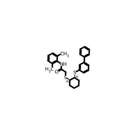 Cc1cccc(C)c1NC(=O)CS[C@@H]1CCCC[C@H]1Sc1cccc(-c2ccccc2)c1